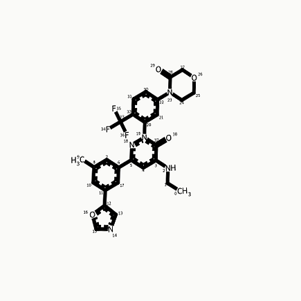 CCNc1cc(-c2cc(C)cc(-c3cnco3)c2)nn(-c2cc(N3CCOCC3=O)ccc2C(F)(F)F)c1=O